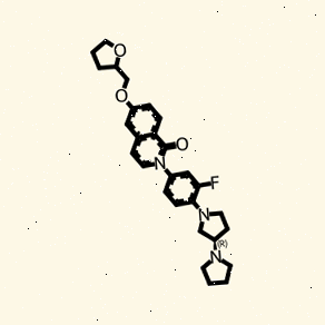 O=c1c2ccc(OCC3CCCO3)cc2ccn1-c1ccc(N2CC[C@@H](N3CCCC3)C2)c(F)c1